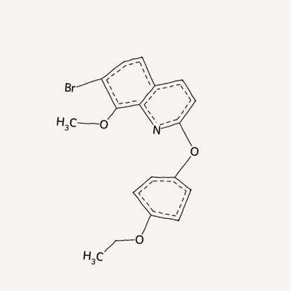 CCOc1ccc(Oc2ccc3ccc(Br)c(OC)c3n2)cc1